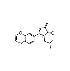 C=C1SC(c2ccc3c(c2)OC=CO3)N(CC(C)C)C1=O